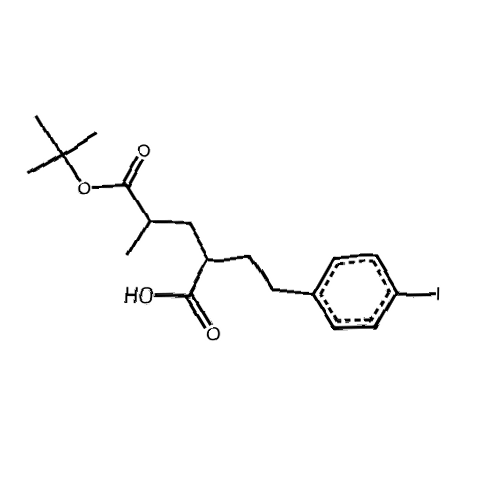 CC(CC(CCc1ccc(I)cc1)C(=O)O)C(=O)OC(C)(C)C